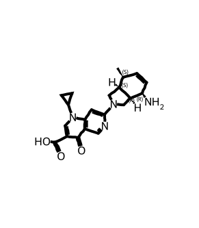 C[C@H]1C=C[C@@H](N)[C@H]2CN(c3cc4c(cn3)c(=O)c(C(=O)O)cn4C3CC3)C[C@H]21